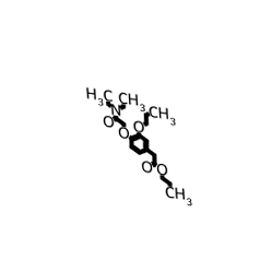 CCCOC(=O)Cc1ccc(OCC(=O)N(CC)CC)c(OCCC)c1